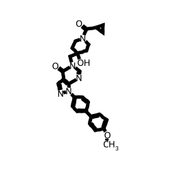 COc1ccc(-c2ccc(-n3ncc4c(=O)n(CC5(O)CCN(C(=O)C6CC6)CC5)cnc43)cc2)cc1